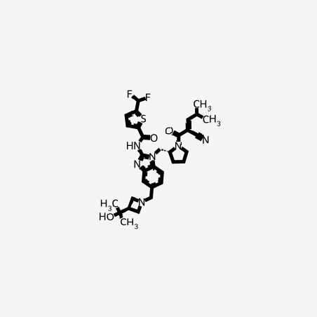 CC(C)C=C(C#N)C(=O)N1CCC[C@@H]1Cn1c(NC(=O)c2ccc(C(F)F)s2)nc2cc(CN3CC(C(C)(C)O)C3)ccc21